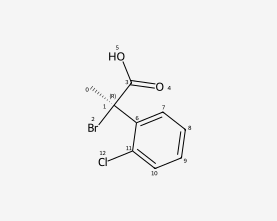 C[C@](Br)(C(=O)O)c1ccccc1Cl